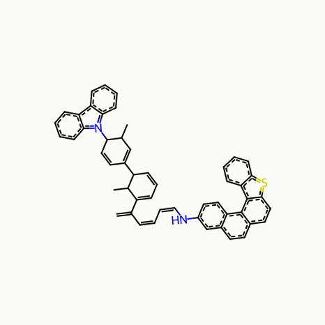 C=C(/C=C\C=C/Nc1ccc2c(ccc3ccc4sc5ccccc5c4c32)c1)C1=CC=CC(C2=CC(C)C(n3c4ccccc4c4ccccc43)C=C2)C1C